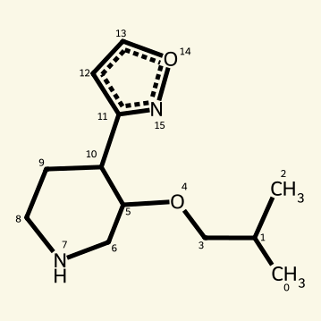 CC(C)COC1CNCCC1c1ccon1